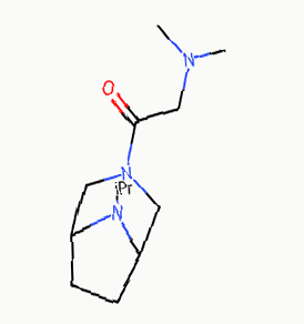 CC(C)N1C2CCC1CN(C(=O)CN(C)C)C2